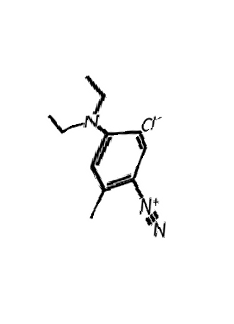 CCN(CC)c1ccc([N+]#N)c(C)c1.[Cl-]